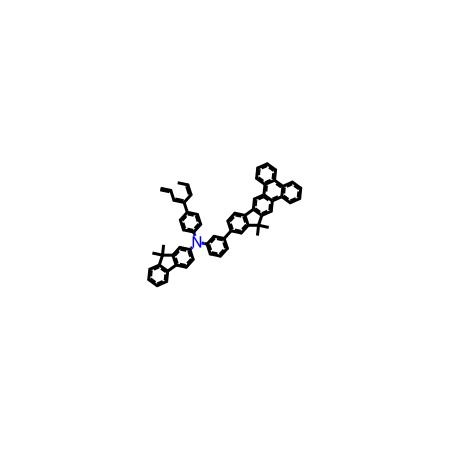 C=C/C=C(\C=C/C)c1ccc(N(c2cccc(-c3ccc4c(c3)C(C)(C)c3cc5c6ccccc6c6ccccc6c5cc3-4)c2)c2ccc3c(c2)C(C)(C)c2ccccc2-3)cc1